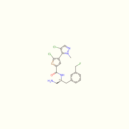 Cn1ncc(Cl)c1-c1cc(C(=O)N[C@H](CN)Cc2cccc(CF)c2)sc1Cl